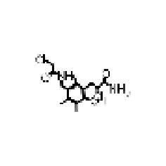 Cc1c(C)c(CNC(=O)CCl)c(C)c(CC(Cl)C(N)=O)c1O